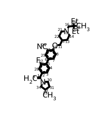 C=C(c1ccc(-c2ccc(OCC3CCN(CC(C)(CC)CC)CC3)c(C#N)c2)c(F)c1)N1CC[C@H](C)C1